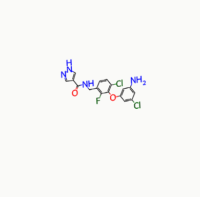 Nc1cc(Cl)cc(Oc2c(Cl)ccc(CNC(=O)c3cn[nH]c3)c2F)c1